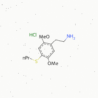 CCCSc1cc(OC)c(CCN)cc1OC.Cl